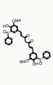 COc1cc(/C=C/C(=O)CC(=O)/C=C/c2cc(OC)c(O)c([S+]([O-])c3ccccc3)c2)cc([S+]([O-])c2ccccc2)c1O